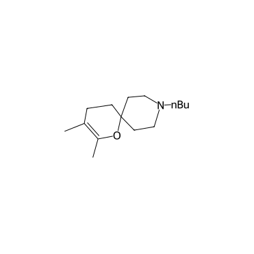 CCCCN1CCC2(CCC(C)=C(C)O2)CC1